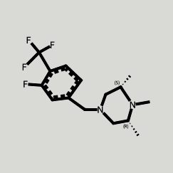 C[C@@H]1CN(Cc2ccc(C(F)(F)F)c(F)c2)C[C@H](C)N1C